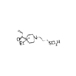 C=CC(=O)[N+]1(CC)CCN(CCCS(=O)(=O)O)CC1